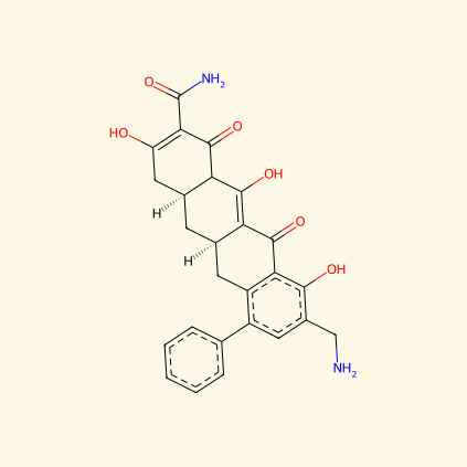 NCc1cc(-c2ccccc2)c2c(c1O)C(=O)C1=C(O)C3C(=O)C(C(N)=O)=C(O)C[C@@H]3C[C@@H]1C2